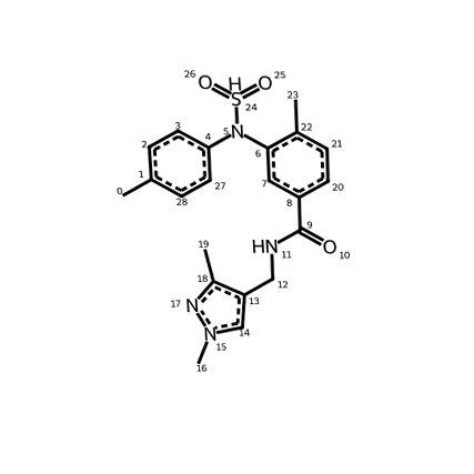 Cc1ccc(N(c2cc(C(=O)NCc3cn(C)nc3C)ccc2C)[SH](=O)=O)cc1